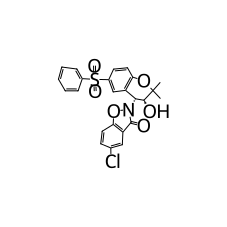 CC1(C)Oc2ccc(S(=O)(=O)c3ccccc3)cc2[C@@H](n2oc3ccc(Cl)cc3c2=O)[C@@H]1O